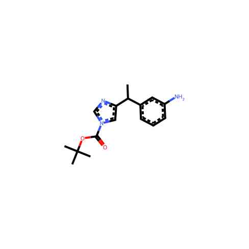 CC(c1cccc(N)c1)c1cn(C(=O)OC(C)(C)C)cn1